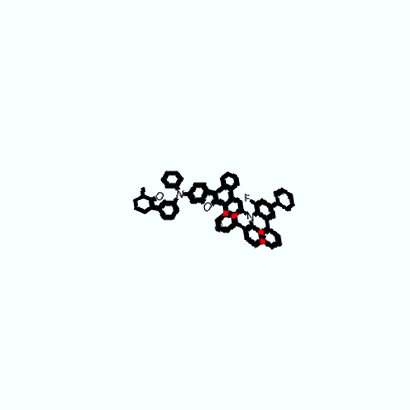 CC1CC=Cc2c1oc1c(N(c3ccccc3)c3ccc4c(c3)oc3c5ccc(N(c6ccccc6-c6ccccc6)c6c(F)cc(C7C=CC=CC7)cc6-c6ccccc6)cc5c5ccccc5c43)cccc21